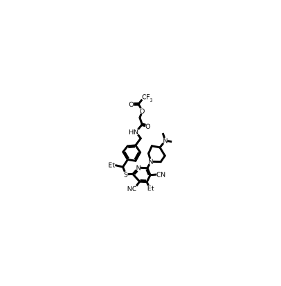 CCc1c(C#N)c(SC(CC)c2ccc(CNC(=O)COC(=O)C(F)(F)F)cc2)nc(N2CCC(N(C)C)CC2)c1C#N